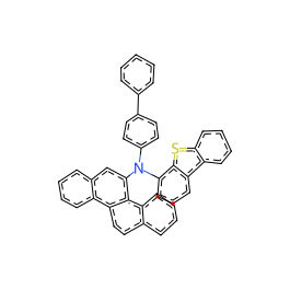 c1ccc(-c2ccc(N(c3cccc4c3sc3ccccc34)c3cc4ccccc4c4ccc5ccccc5c34)cc2)cc1